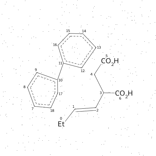 CCC=CC(CC(=O)O)C(=O)O.c1ccc(-c2ccccc2)cc1